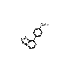 COc1ccc(-c2nccn3cnnc23)cc1